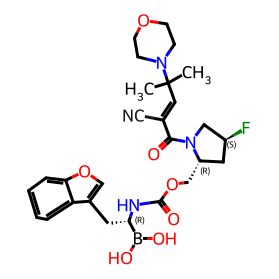 CC(C)(C=C(C#N)C(=O)N1C[C@@H](F)C[C@@H]1COC(=O)N[C@@H](Cc1coc2ccccc12)B(O)O)N1CCOCC1